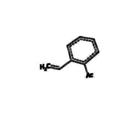 C=Cc1ccccc1C(C)=O